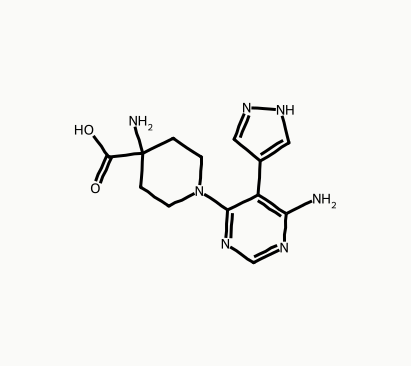 Nc1ncnc(N2CCC(N)(C(=O)O)CC2)c1-c1cn[nH]c1